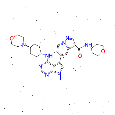 O=C(NC1CCOCC1)c1cnn2ccc(-c3c[nH]c4ncnc(N[C@H]5CC[C@H](N6CCOCC6)CC5)c34)cc12